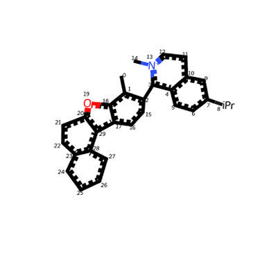 Cc1c(-c2c3ccc(C(C)C)cc3cc[n+]2C)ccc2c1oc1ccc3ccccc3c12